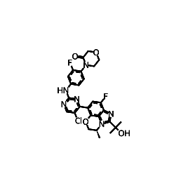 C[C@H]1COc2c(-c3nc(Nc4ccc(N5CCOCC5=O)c(F)c4)ncc3Cl)cc(F)c3nc(C(C)(C)O)n1c23